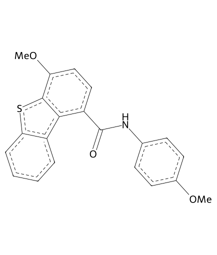 COc1ccc(NC(=O)c2ccc(OC)c3sc4ccccc4c23)cc1